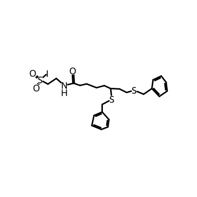 O=C(CCCCC(CCSCc1ccccc1)SCc1ccccc1)NCCS(=O)(=O)I